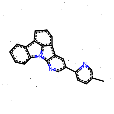 Cc1ccc(-c2cnc3c(c2)c2cccc4c5ccccc5n3c42)nc1